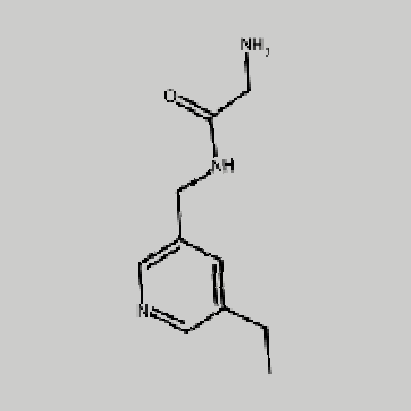 CCc1cncc(CNC(=O)CN)c1